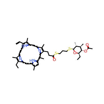 C=Cc1c(C)c2cc3nc(c(C)c4cc(C)c(cc5nc(cc1[nH]2)C(C)=C5CC)[nH]4)C(CCC(=O)SCCCS[C@@H]1O[C@H](CC)[C@@H](OC(C)=O)[C@H](C)[C@H]1C)=C3C